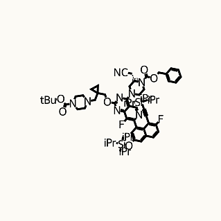 CC(C)[Si](C#Cc1c(F)ccc2cc(O[Si](C(C)C)(C(C)C)C(C)C)cc(-c3ncc4c(N5CCN(C(=O)OCc6ccccc6)[C@@H](CC#N)C5)nc(OCC5(CN6CCN(C(=O)OC(C)(C)C)CC6)CC5)nc4c3F)c12)(C(C)C)C(C)C